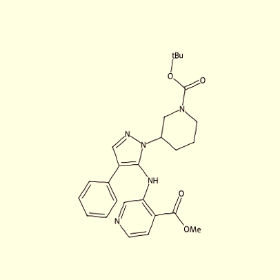 COC(=O)c1ccncc1Nc1c(-c2ccccc2)cnn1C1CCCN(C(=O)OC(C)(C)C)C1